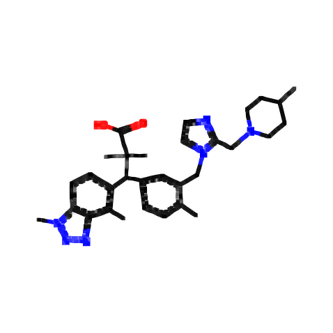 Cc1ccc(C(c2ccc3c(nnn3C)c2C)C(C)(C)C(=O)O)cc1Cn1ccnc1CN1CCC(C)CC1